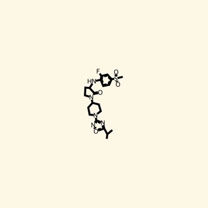 CC(C)c1nc(N2CCC(N3CCC(Nc4ccc(S(C)(=O)=O)cc4F)C3=O)CC2)no1